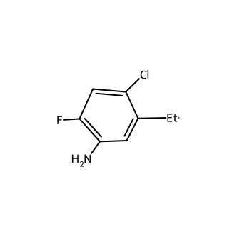 C[CH]c1cc(N)c(F)cc1Cl